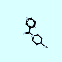 CC(C)(C)N1CCN(C(=O)c2cccnc2)CC1